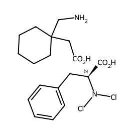 NCC1(CC(=O)O)CCCCC1.O=C(O)[C@H](Cc1ccccc1)N(Cl)Cl